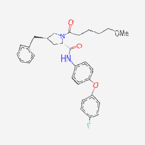 COCCCCC(=O)N1C[C@H](Cc2ccccc2)C[C@H]1C(=O)Nc1ccc(Oc2ccc(F)cc2)cc1